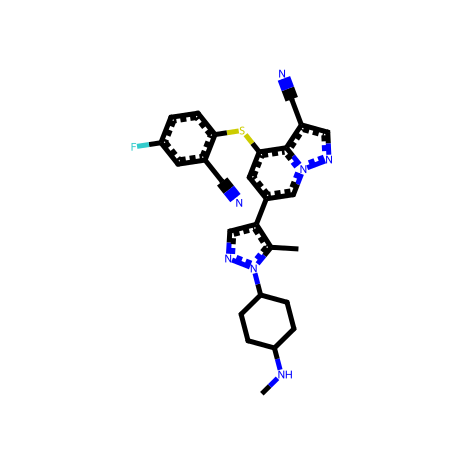 CNC1CCC(n2ncc(-c3cc(Sc4ccc(F)cc4C#N)c4c(C#N)cnn4c3)c2C)CC1